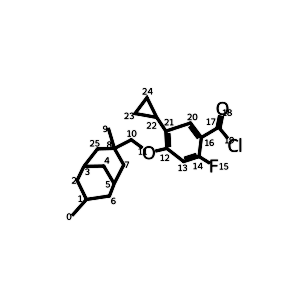 CC1CC2CC(C1)CC(C)(COc1cc(F)c(C(=O)Cl)cc1C1CC1)C2